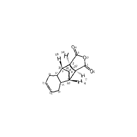 O=C1OC(=O)[C@H]2[C@@H]1[C@H]1C[C@@H]2C2CC=CCC21